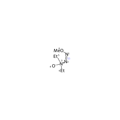 [CH2]O/N=N\[N+]([O-])(CC)CC